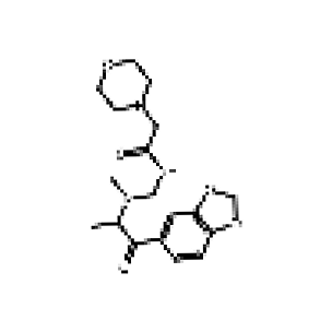 CC(C(=O)c1ccc2c(c1)OCO2)N(C)CNC(=O)CN1CCOCC1